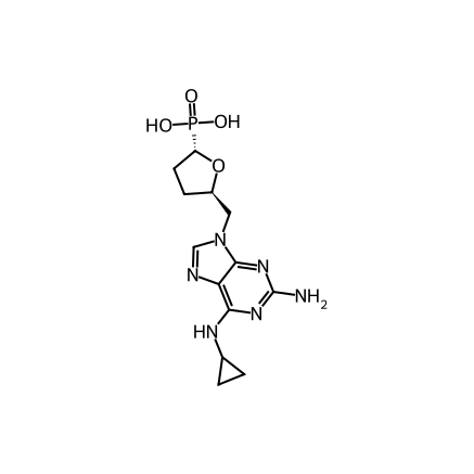 Nc1nc(NC2CC2)c2ncn(C[C@H]3CC[C@H](P(=O)(O)O)O3)c2n1